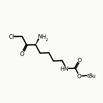 CC(C)(C)OC(=O)NCCCC[C@H](N)C(=O)CCl